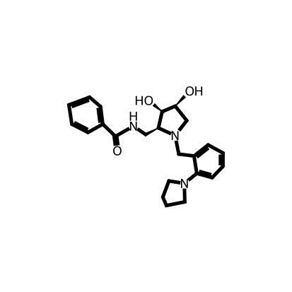 O=C(NC[C@H]1[C@@H](O)[C@@H](O)CN1Cc1ccccc1N1CCCC1)c1ccccc1